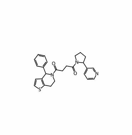 O=C(CCC(=O)N1CCc2sccc2C1c1ccccc1)N1CCCC1c1cccnc1